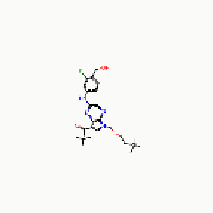 CC(C)(C)C(=O)c1cn(COCC[Si](C)(C)C)c2ncc(Nc3ccc(CO)c(F)c3)nc12